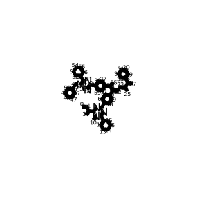 C=CC(=C)C/N=C(\N=C(/N=C)C1=CCCC=C1)c1ccc(/C(=C/C=C(\C)C(=C)c2ccccc2)C(=C)c2ccc(C(/N=C(\N=C\c3ccccc3)C3=CCCC=C3)=N/C)cc2)cc1